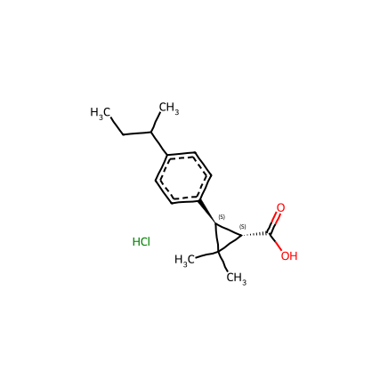 CCC(C)c1ccc([C@H]2[C@H](C(=O)O)C2(C)C)cc1.Cl